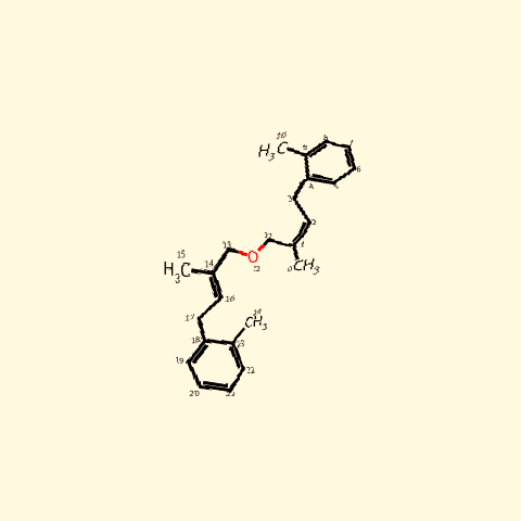 CC(=CCc1ccccc1C)COCC(C)=CCc1ccccc1C